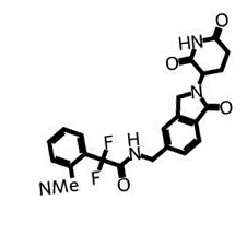 CNc1ccccc1C(F)(F)C(=O)NCc1ccc2c(c1)CN(C1CCC(=O)NC1=O)C2=O